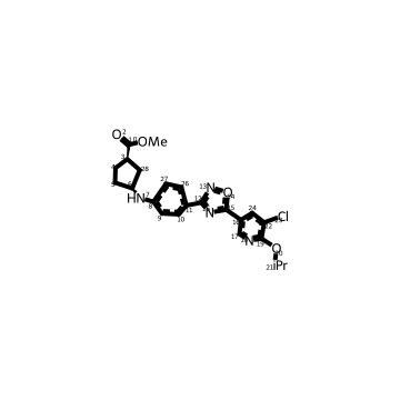 COC(=O)[C@@H]1CC[C@H](Nc2ccc(-c3noc(-c4cnc(OC(C)C)c(Cl)c4)n3)cc2)C1